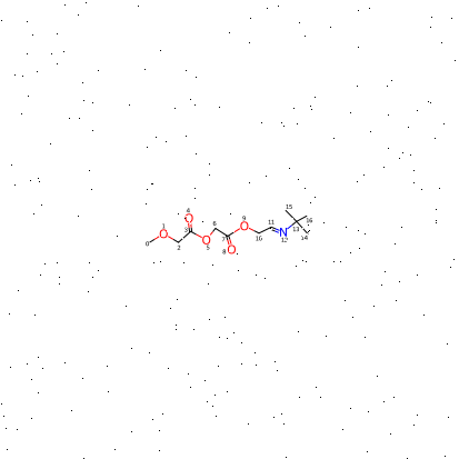 COCC(=O)OCC(=O)OC/C=N/C(C)(C)C